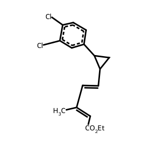 CCOC(=O)C=C(C)C=CC1CC1c1ccc(Cl)c(Cl)c1